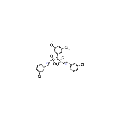 COc1cc(OC)cc(N(S(=O)(=O)/C=C/c2cccc(Cl)c2)S(=O)(=O)/C=C/c2cccc(Cl)c2)c1